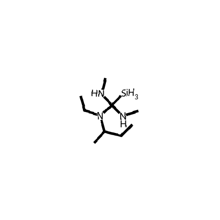 CCC(C)N(CC)C([SiH3])(NC)NC